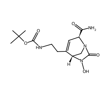 CC(C)(C)OC(=O)NCCC1=C[C@@H](C(N)=O)N2C[C@@H]1N(O)C2=O